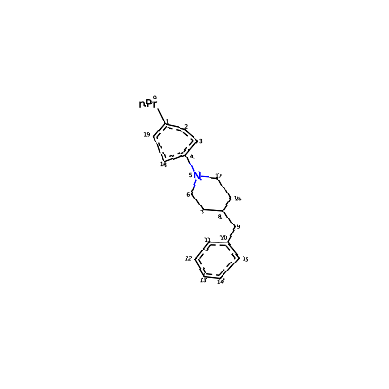 CCCc1ccc(N2CCC(Cc3cc[c]cc3)CC2)cc1